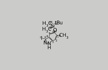 Cc1cc2[nH]nc(I)c2cc1O[Si](C)(C)C(C)(C)C